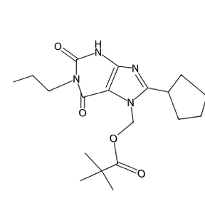 CCCn1c(=O)[nH]c2nc(C3CCCC3)n(COC(=O)C(C)(C)C)c2c1=O